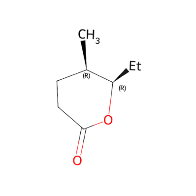 CC[C@H]1OC(=O)CC[C@H]1C